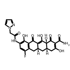 NC(=O)C1=C(O)C[C@@H]2C[C@@H]3Cc4c(F)cc(NC(=O)Cn5cccn5)c(O)c4C(=O)C3=C(O)[C@]2(O)C1=O